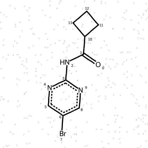 O=C(Nc1ncc(Br)cn1)C1CCC1